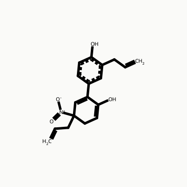 C=CCc1cc(C2=CC(CC=C)([N+](=O)[O-])CC=C2O)ccc1O